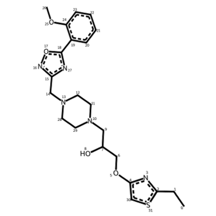 CCc1nc(OCC(O)CN2CCN(Cc3noc(-c4ccccc4OC)n3)CC2)cs1